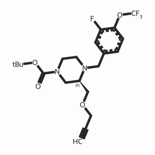 C#CCOC[C@H]1CN(C(=O)OC(C)(C)C)CCN1Cc1ccc(OC(F)(F)F)c(F)c1